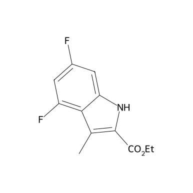 CCOC(=O)c1[nH]c2cc(F)cc(F)c2c1C